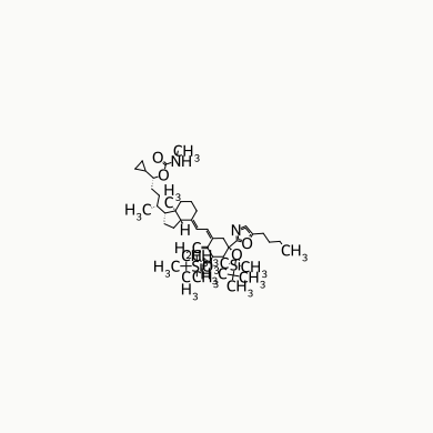 C=C1/C(=C\C=C2/CCC[C@]3(C)[C@@H]([C@H](C)CC[C@@H](OC(=O)NC)C4CC4)CC[C@@H]23)C[C@](O[Si](C)(C)C(C)(C)C)(c2ncc(CCCC)o2)C[C@@H]1O[Si](C)(C)C(C)(C)C